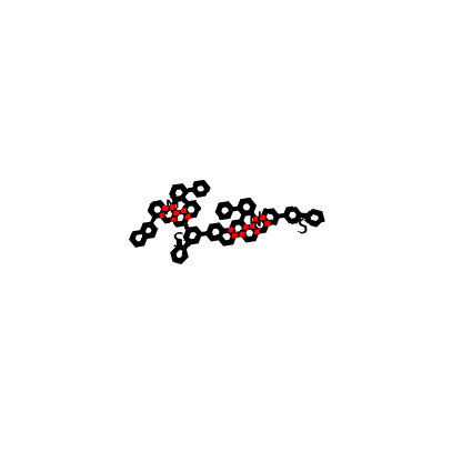 c1ccc(-c2ccccc2-c2c(-c3ccccc3)cccc2N(c2ccc(-c3cc(-c4ccc5cc(-c6cccc(N(c7ccc(-c8ccc9c(c8)sc8ccccc89)cc7)c7cccc(-c8ccccc8)c7-c7ccccc7-c7ccccc7)c6)ccc5c4)cc4c3sc3ccccc34)cc2)c2cccc(-c3ccc4ccccc4c3)c2)cc1